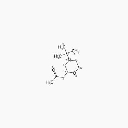 CC(=O)CC1CN(C(C)(C)C)CCO1